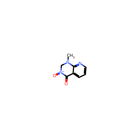 CN1C[N+](=O)C(=O)c2cccnc21